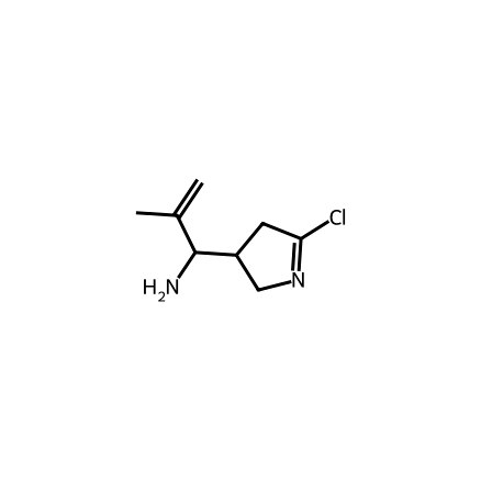 C=C(C)C(N)C1CN=C(Cl)C1